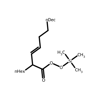 CCCCCCCCCCCCC=CC(CCCCCC)C(=O)OO[Si](C)(C)C